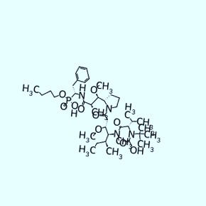 CCCCOP(=O)(O)[C@H](Cc1ccccc1)NC(=O)[C@H](C)[C@@H](OC)[C@@H]1CCCN1C(=O)C[C@@H](OC)[C@H]([C@@H](C)CC)N(C)C(=O)[C@H](C(C)C)N(C(=O)O)C(C)(C)C